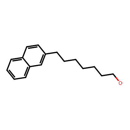 [O]CCCCCCCc1ccc2ccccc2c1